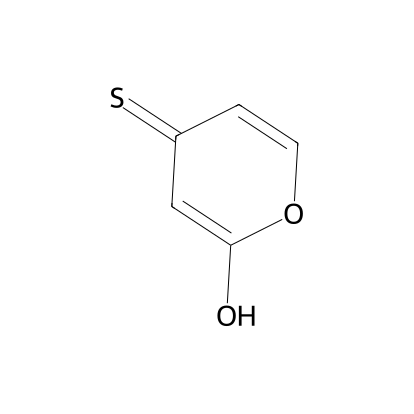 Oc1cc(=S)cco1